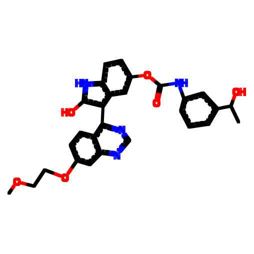 COCCOc1ccc2c(-c3c(O)[nH]c4ccc(OC(=O)Nc5cccc(C(C)O)c5)cc34)ncnc2c1